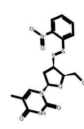 Cc1cn([C@H]2C[C@@H](SSc3ccccc3[N+](=O)[O-])[C@@H](CO)O2)c(=O)[nH]c1=O